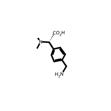 CN(C)[C@H](C(=O)O)c1ccc(CN)cc1